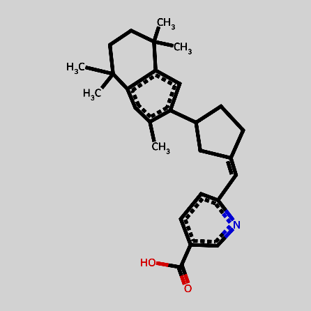 Cc1cc2c(cc1C1CCC(=Cc3ccc(C(=O)O)cn3)C1)C(C)(C)CCC2(C)C